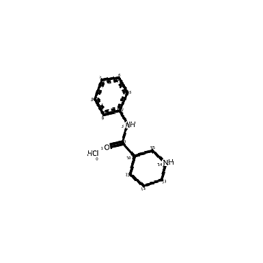 Cl.O=C(Nc1ccccc1)C1CCCNC1